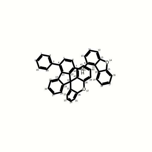 c1ccc(-c2ccc(Nc3cccc4oc5ccccc5c34)c3c2-c2ccccc2C32c3ccccc3Oc3ccccc32)cc1